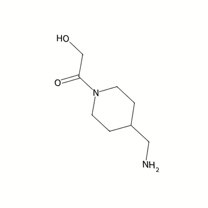 NCC1CCN(C(=O)CO)CC1